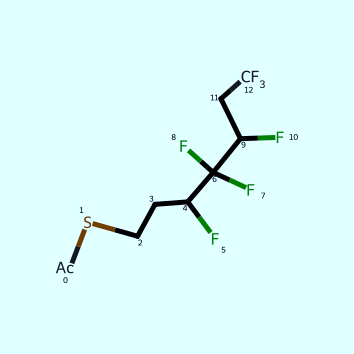 CC(=O)SCCC(F)C(F)(F)C(F)CC(F)(F)F